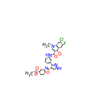 CCn1cc(C(=O)Nc2cccc(-c3n[nH]cc3-c3nc4cc(S(=O)(=O)CC)ccc4o3)c2)c(=O)c2cc(F)c(Cl)cc21